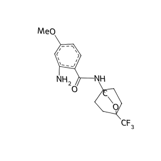 COc1ccc(C(=O)NC23CCC(C(F)(F)F)(CC2)OC3)c(N)c1